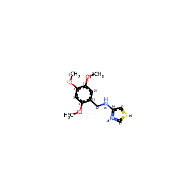 COc1cc(OC)c(OC)cc1CNc1cs[c]n1